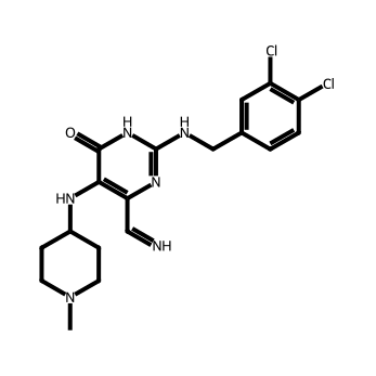 CN1CCC(Nc2c(C=N)nc(NCc3ccc(Cl)c(Cl)c3)[nH]c2=O)CC1